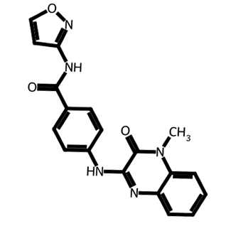 Cn1c(=O)c(Nc2ccc(C(=O)Nc3ccon3)cc2)nc2ccccc21